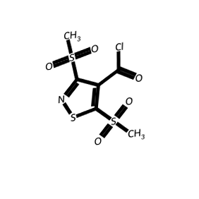 CS(=O)(=O)c1nsc(S(C)(=O)=O)c1C(=O)Cl